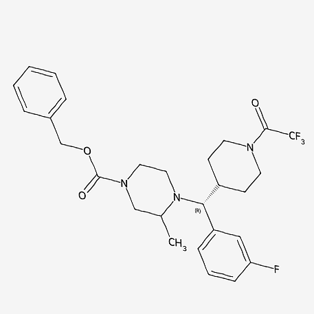 CC1CN(C(=O)OCc2ccccc2)CCN1[C@@H](c1cccc(F)c1)C1CCN(C(=O)C(F)(F)F)CC1